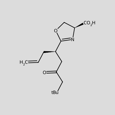 C=CC[C@H](CC(=O)CC(C)(C)C)C1=N[C@H](C(=O)O)CO1